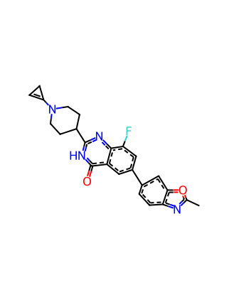 Cc1nc2ccc(-c3cc(F)c4nc(C5CCN(C6=CC6)CC5)[nH]c(=O)c4c3)cc2o1